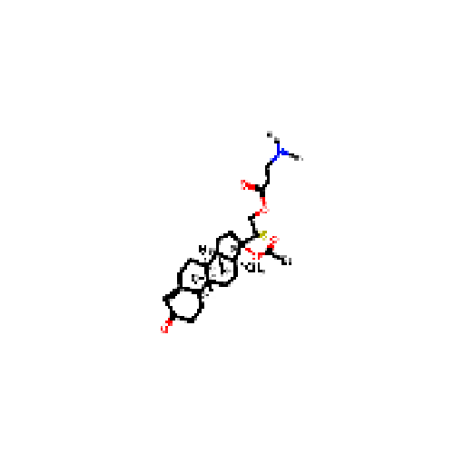 CCC(=O)O[C@]1(C(=S)COC(=O)CCN(CC)CC)CC[C@H]2[C@@H]3CCC4=CC(=O)CC[C@]4(C)[C@H]3CC[C@@]21C